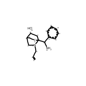 C=CCN1CC2CCC1(C(N)c1ccccc1)CC2.Cl